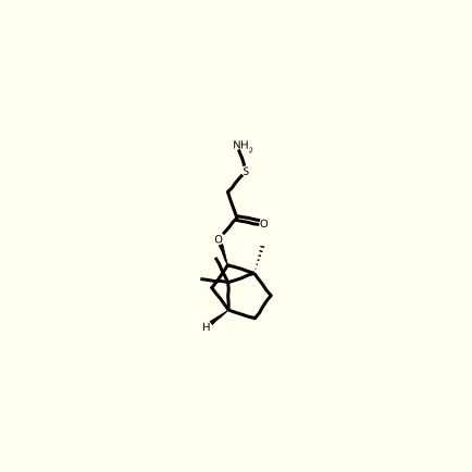 CC1(C)[C@@H]2CC[C@]1(C)[C@H](OC(=O)CSN)C2